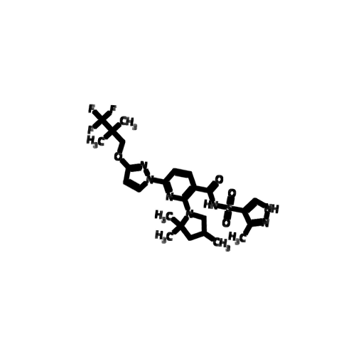 Cc1n[nH]cc1S(=O)(=O)NC(=O)c1ccc(-n2ccc(OCC(C)(C)C(F)(F)F)n2)nc1N1CC(C)CC1(C)C